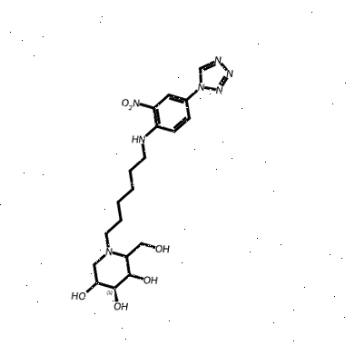 O=[N+]([O-])c1cc(-n2cnnn2)ccc1NCCCCCCN1CC(O)[C@H](O)C(O)C1CO